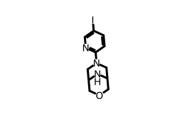 Ic1ccc(N2CC3COCC(C2)N3)nc1